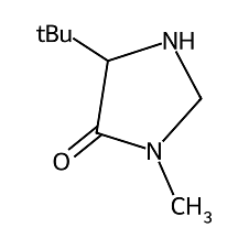 CN1CNC(C(C)(C)C)C1=O